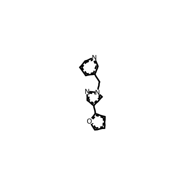 c1cncc(Cn2cc(-c3ccco3)cn2)c1